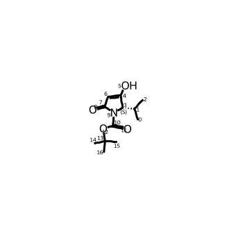 CC(C)[C@H]1C(O)=CC(=O)N1C(=O)OC(C)(C)C